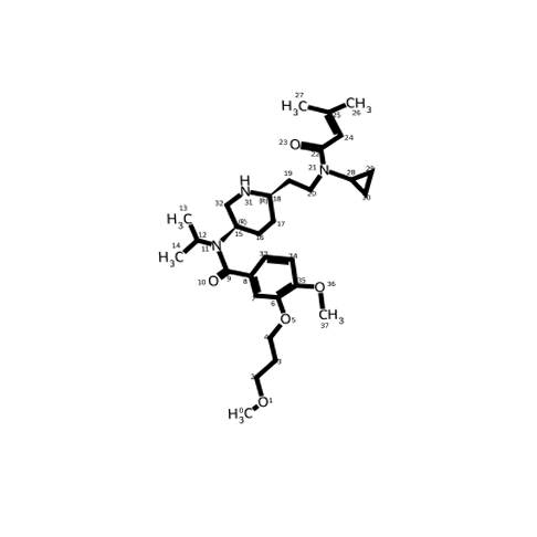 COCCCOc1cc(C(=O)N(C(C)C)[C@@H]2CC[C@H](CCN(C(=O)C=C(C)C)C3CC3)NC2)ccc1OC